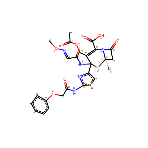 CON=CC(=O)NC1(c2csc(NC(=O)COc3ccccc3)n2)S[C@@H]2CC(=O)N2C(C(=O)O)=C1COC(C)=O